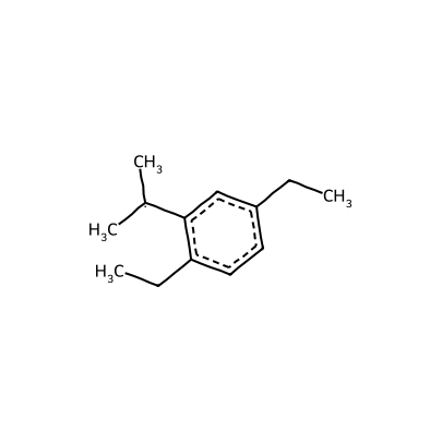 CCc1ccc(CC)c([C](C)C)c1